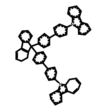 C1=CCc2c(c3ccccc3n2-c2ccc(-c3ccc(C4(c5ccc(-c6ccc(-n7c8ccccc8c8ccccc87)cc6)cc5)C5=C(C=CCC5)c5ccccc54)cc3)cc2)C=C1